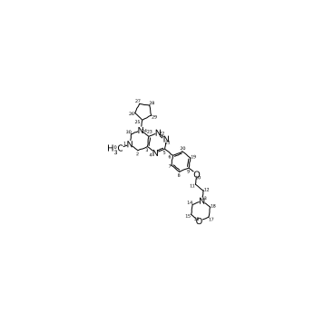 CN1Cc2nc(-c3ccc(OCCN4CCOCC4)cc3)nnc2N(C2CCCC2)C1